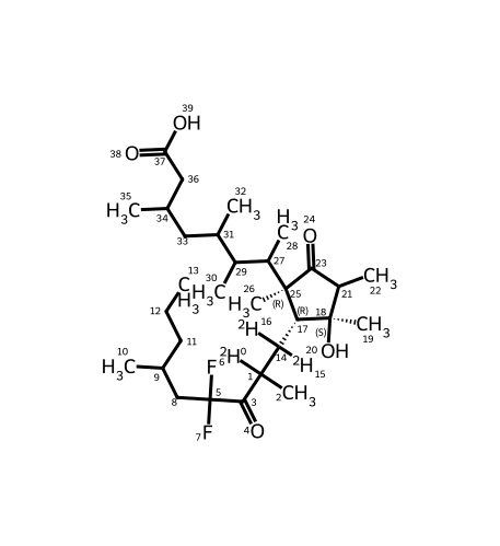 [2H]C(C)(C(=O)C(F)(F)CC(C)CCC)C([2H])([2H])[C@H]1[C@](C)(O)C(C)C(=O)[C@]1(C)C(C)C(C)C(C)CC(C)CC(=O)O